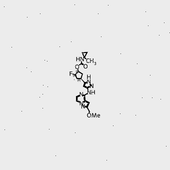 COCc1cc2c(Nc3cc([C@H]4C[C@@H](F)[C@@H](OC(=O)NC5(C)CC5)C4)[nH]n3)nccn2n1